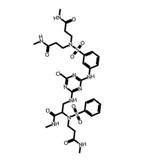 CNC(=O)CCN(CCC(=O)NC)S(=O)(=O)c1cccc(Nc2nc(Cl)nc(NCC(C(=O)NC)N(CCC(=O)NC)S(=O)(=O)c3ccccc3)n2)c1